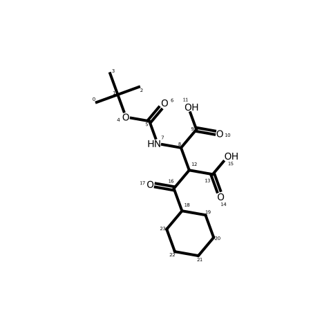 CC(C)(C)OC(=O)NC(C(=O)O)C(C(=O)O)C(=O)C1CCCCC1